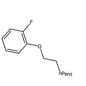 CCCCCCCOc1ccc[c]c1F